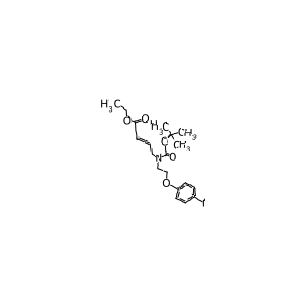 CCOC(=O)/C=C/CN(CCOc1ccc(I)cc1)C(=O)OC(C)(C)C